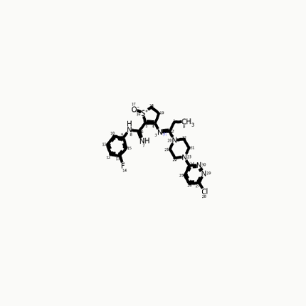 CC/C(=N\C1=C(C(=N)Nc2cccc(F)c2)[S+]([O-])CC1)N1CCN(c2ccc(Cl)nn2)CC1